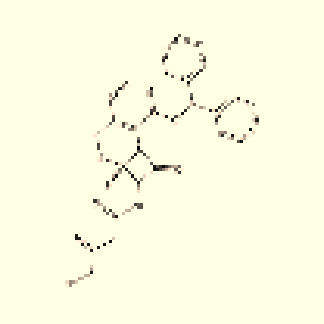 C=CC1=C(C(=O)OC(c2ccccc2)c2ccccc2)N2C(=O)C(NC(=O)CC(=O)CCl)[C@@H]2SC1